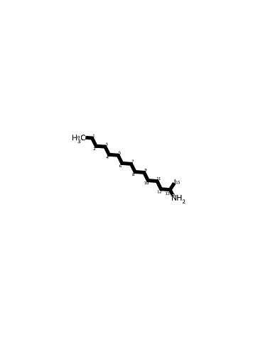 CCCCCCCCCCCCCC(N)I